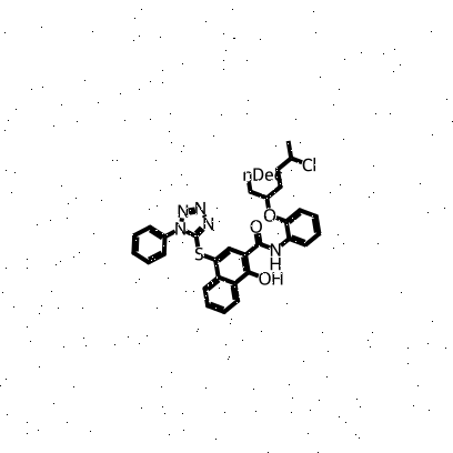 CCCCCCCCCCCC(CCC(C)Cl)Oc1ccccc1NC(=O)c1cc(Sc2nnnn2-c2ccccc2)c2ccccc2c1O